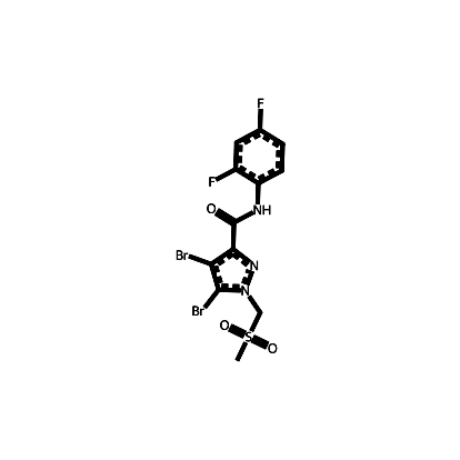 CS(=O)(=O)Cn1nc(C(=O)Nc2ccc(F)cc2F)c(Br)c1Br